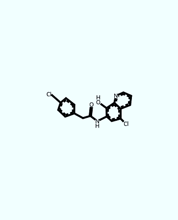 O=C(Cc1ccc(Cl)cc1)Nc1cc(Cl)c2cccnc2c1O